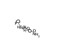 CC1(c2ccc(C(N)=O)cc2)SC(NCCc2ccccc2F)=NC1=O